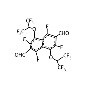 O=Cc1c(F)c(OC(C(F)(F)F)C(F)(F)F)c2c(F)c(C=O)c(F)c(OC(C(F)(F)F)C(F)(F)F)c2c1F